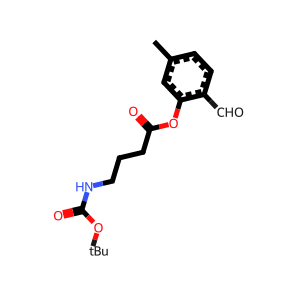 Cc1ccc(C=O)c(OC(=O)CCCNC(=O)OC(C)(C)C)c1